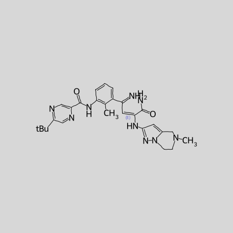 Cc1c(NC(=O)c2cnc(C(C)(C)C)cn2)cccc1C(=N)/C=C(/Nc1cc2n(n1)CCN(C)C2)C(N)=O